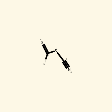 N#CSC(=S)I